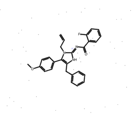 C=CCn1c(-c2ccc(OC)cc2)c(Cc2ccccc2)[nH]/c1=N\C(=O)c1ccccc1F